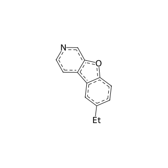 CCc1ccc2oc3cnccc3c2c1